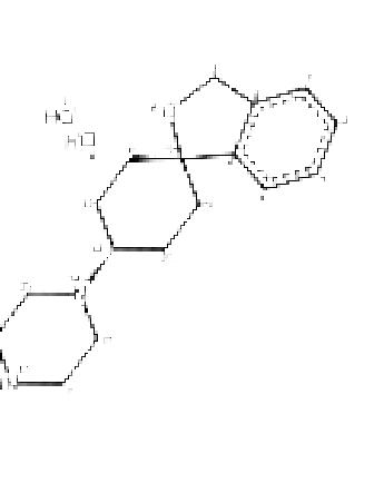 Cl.Cl.c1ccc2c(c1)CO[C@]21CC[C@H](N2CCNCC2)CC1